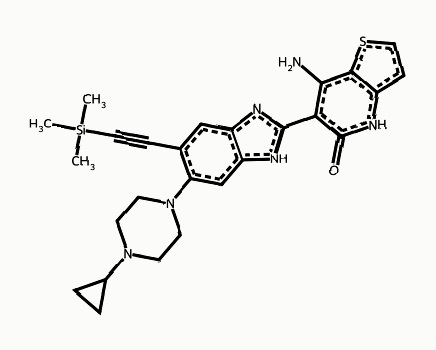 C[Si](C)(C)C#Cc1cc2nc(-c3c(N)c4sccc4[nH]c3=O)[nH]c2cc1N1CCN(C2CC2)CC1